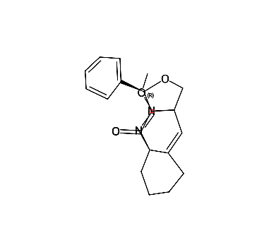 COC1=NC23CCCCC2=CC12CO[C@H](c1ccccc1)N2C3=O